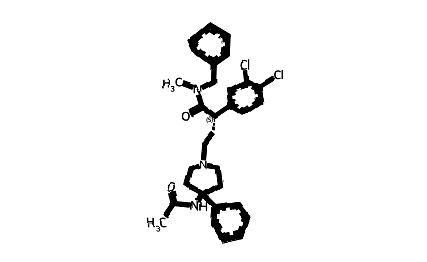 CC(=O)NC1(c2ccccc2)CCN(CC[C@H](C(=O)N(C)Cc2ccccc2)c2ccc(Cl)c(Cl)c2)CC1